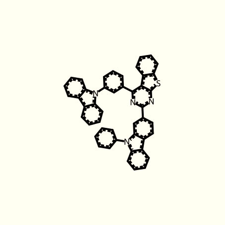 c1ccc(-n2c3ccccc3c3ccc(-c4nc(-c5cccc(-n6c7ccccc7c7ccccc76)c5)c5c(n4)sc4ccccc45)cc32)cc1